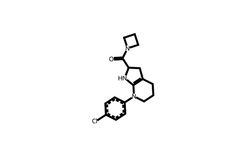 O=C(C1CC2=C(N1)N(c1ccc(Cl)cc1)CCC2)N1CCC1